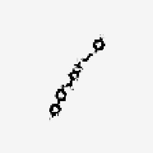 O=C(Nc1ccc(-c2ccc(F)nc2)cc1)c1cc2sc(NCCOc3ccc(Cl)cc3)nc2s1